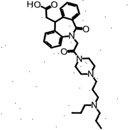 CCCN(CCC)CCCN1CCN(C(=O)CN2C(=O)c3ccccc3C(CC(=O)O)c3ccccc32)CC1